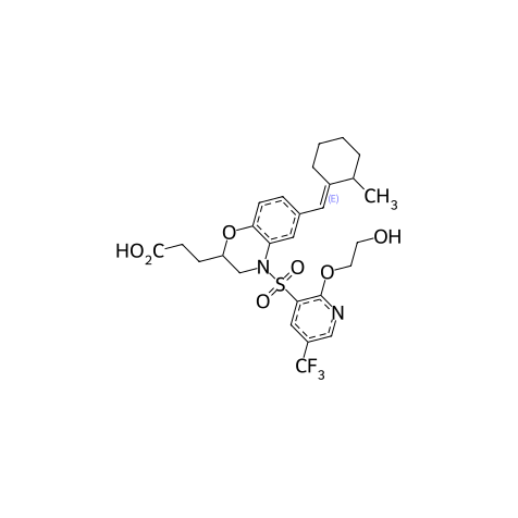 CC1CCCC/C1=C\c1ccc2c(c1)N(S(=O)(=O)c1cc(C(F)(F)F)cnc1OCCO)CC(CCC(=O)O)O2